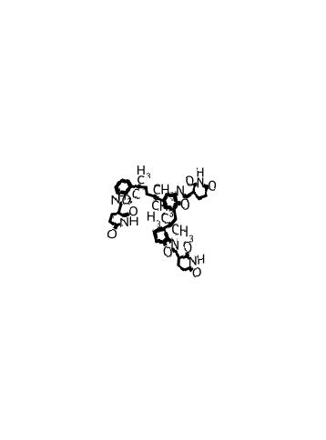 CC(C)(CCC(C)(C)c1cccc2nc(C3CCC(=O)NC3=O)oc12)c1cc(CC(C)(C)c2cccc3oc(C4CCC(=O)NC4=O)nc23)c2oc(C3CCC(=O)NC3=O)nc2c1